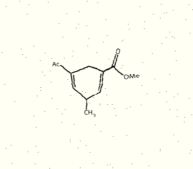 COC(=O)C1=CC(C)C=C(C(C)=O)C1